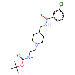 CC(C)(C)OC(=O)NCCN1CCC(CNC(=O)c2cccc(Cl)c2)CC1